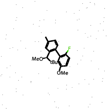 COc1ccc(F)c(-c2ccc(C)cc2[C@H](OC)C(C)(C)C)c1